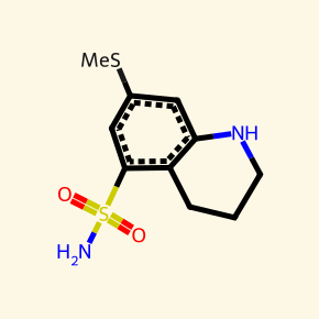 CSc1cc2c(c(S(N)(=O)=O)c1)CCCN2